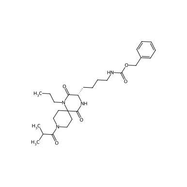 CCCN1C(=O)[C@H](CCCCNC(=O)OCc2ccccc2)NC(=O)C12CCN(C(=O)C(C)C)CC2